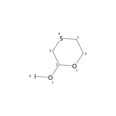 IOC1CSCCO1